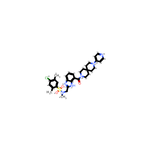 Cc1cc(S(=O)(=O)N(C)Cc2nc3cccc(C(=O)N4CCC5(CC4)CCN(c4ccncc4)CC5)c3[nH]2)c(C)cc1Cl